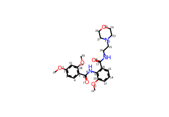 COc1ccc(C(=O)Nc2c(OC)cccc2C(=O)NCCN2CCOCC2)c(OC)c1